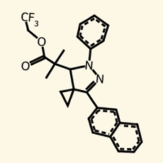 CC(C)(C(=O)OCC(F)(F)F)C1N(c2ccccc2)N=C(c2ccc3ccccc3c2)C12CC2